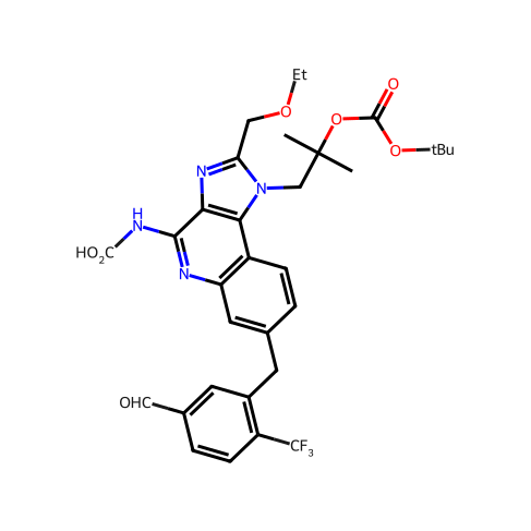 CCOCc1nc2c(NC(=O)O)nc3cc(Cc4cc(C=O)ccc4C(F)(F)F)ccc3c2n1CC(C)(C)OC(=O)OC(C)(C)C